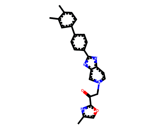 Cc1coc(C(=O)Cn2ccc3nc(-c4ccc(-c5ccc(C)c(C)c5)cc4)nc-3c2)n1